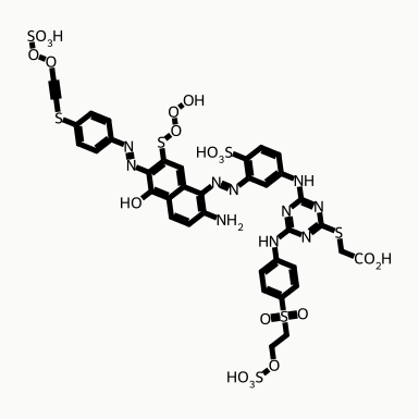 Nc1ccc2c(O)c(N=Nc3ccc(SC#COOS(=O)(=O)O)cc3)c(SOOO)cc2c1N=Nc1cc(Nc2nc(Nc3ccc(S(=O)(=O)CCOS(=O)(=O)O)cc3)nc(SCC(=O)O)n2)ccc1S(=O)(=O)O